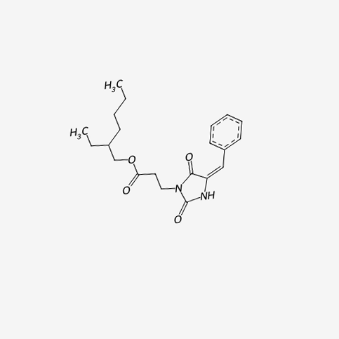 CCCCC(CC)COC(=O)CCN1C(=O)NC(=Cc2ccccc2)C1=O